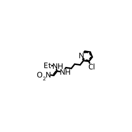 CCNC(=C[N+](=O)[O-])NCCCCc1ncccc1Cl